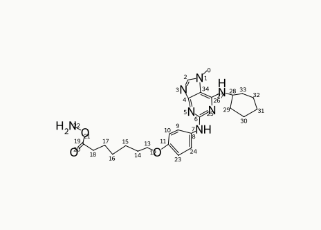 Cn1cnc2nc(Nc3ccc(OCCCCCCC(=O)ON)cc3)nc(NC3CCCCC3)c21